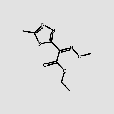 CCOC(=O)C(=NOC)c1nnc(C)s1